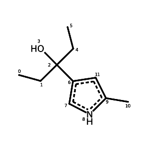 CCC(O)(CC)c1c[nH]c(C)c1